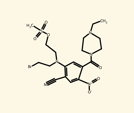 CCN1CCN(C(=O)c2cc(N(CCBr)CCOS(C)(=O)=O)c(C#N)cc2[N+](=O)[O-])CC1